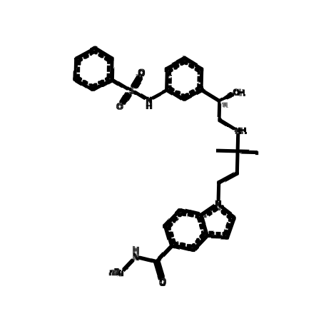 CCCCNC(=O)c1ccc2c(ccn2CCC(C)(C)NC[C@H](O)c2cccc(NS(=O)(=O)c3ccccc3)c2)c1